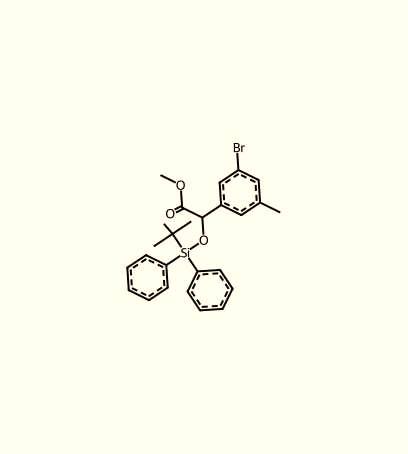 COC(=O)C(O[Si](c1ccccc1)(c1ccccc1)C(C)(C)C)c1cc(C)cc(Br)c1